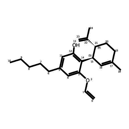 C=COc1cc(CCCCC)cc(O)c1[C@@H]1C=C(C)CC[C@H]1C(=C)C